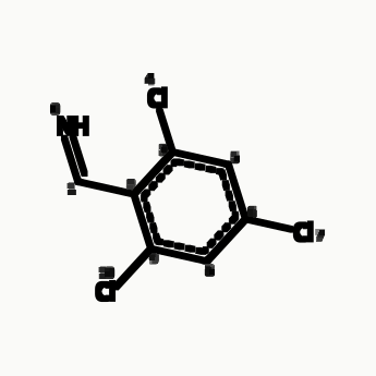 N=Cc1c(Cl)cc(Cl)cc1Cl